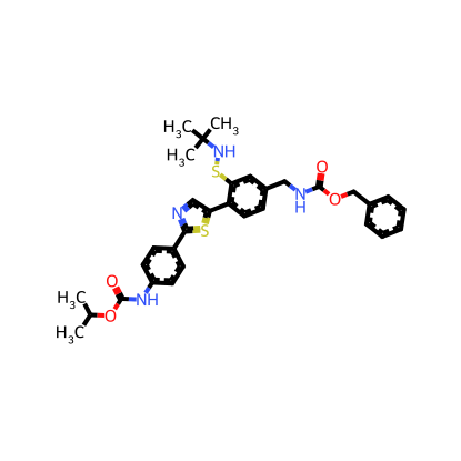 CC(C)OC(=O)Nc1ccc(-c2ncc(-c3ccc(CNC(=O)OCc4ccccc4)cc3SNC(C)(C)C)s2)cc1